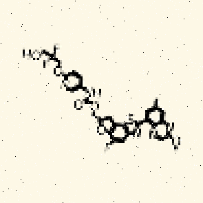 COc1cnc2c(-c3nc4cc(F)c5c(c4s3)C[C@H](COC(=O)Nc3ccc(OCC(F)(F)CO)nc3)O5)cc(C)cc2n1